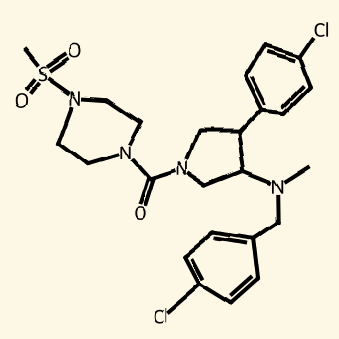 CN(Cc1ccc(Cl)cc1)C1CN(C(=O)N2CCN(S(C)(=O)=O)CC2)CC1c1ccc(Cl)cc1